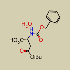 CC(C)COC(=O)C[C@@H](NC(=O)OCc1ccccc1)C(=O)O.O